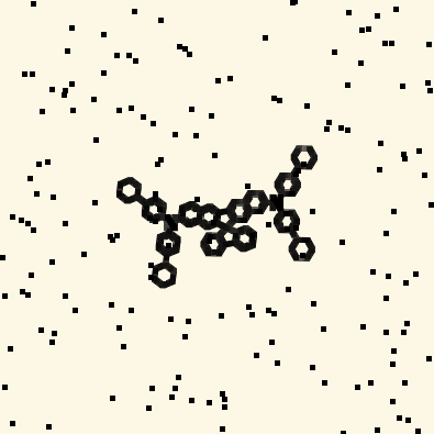 c1ccc2c(c1)-c1ccccc1C21c2cc3cc(N(c4ccc(C5CCCCC5)cc4)c4ccc(C5CCCCC5)cc4)ccc3cc2-c2cc3ccc(N(c4ccc(C5CCCCC5)cc4)c4ccc(C5CCCCC5)cc4)cc3cc21